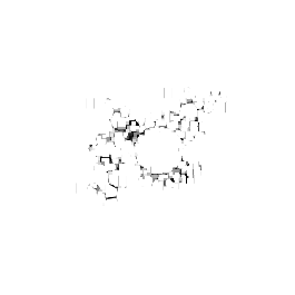 CCC1OC(=O)C(C)C(OC2C[C@@](C)(OC)C(O)C(C)O2)C(C)[C@@H](OC2OC(C)CC(N(C)C[C@@H]3N=C(c4cccn4C)OC3C)[C@H]2O)[C@@](C)(O)C[C@@H](C)CN(C)[C@H](C)[C@@H](O)[C@@]1(C)O